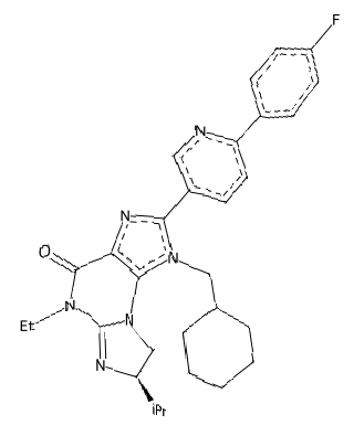 CCN1C(=O)c2nc(-c3ccc(-c4ccc(F)cc4)nc3)n(CC3CCCCC3)c2N2C[C@@H](C(C)C)N=C12